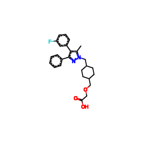 Cc1c(-c2cccc(F)c2)c(-c2ccccc2)nn1CC1CCC(COCC(=O)O)CC1